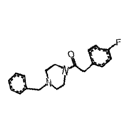 O=C(Cc1ccc(F)cc1)N1CCN(Cc2ccccc2)CC1